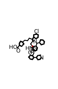 O=C(O)c1ccc(CCCc2c(CCNS(=O)(=O)Cc3ccccc3-c3ccncc3)n(C(c3ccccc3)c3ccccc3)c3ccc(Cl)cc23)cc1